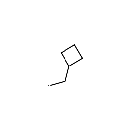 [CH2]CC1CCC1